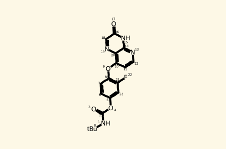 CC(C)(C)NC(=O)Oc1ccc(Oc2ccnc3[nH]c(=O)cnc23)c(F)c1